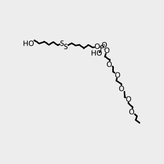 CCCOCCOCCOCCOCCOCCOP(=O)(O)OCCCCCCSSCCCCCCO